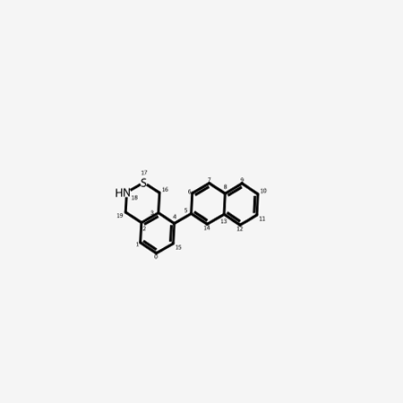 c1cc2c(c(-c3ccc4ccccc4c3)c1)CSNC2